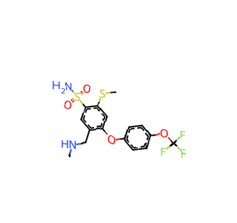 CNCc1cc(S(N)(=O)=O)c(SC)cc1Oc1ccc(OC(F)(F)F)cc1